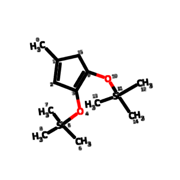 CC1=CC(O[Si](C)(C)C)=C(O[Si](C)(C)C)C1